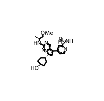 COC[C@H](C)Nc1ncc2c(-c3ccnc([SH](=N)=O)c3)cc([C@H]3CC[C@H](O)CC3)n2n1